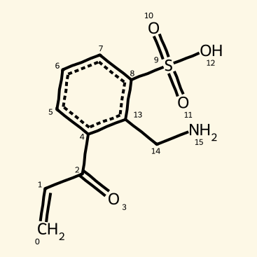 C=CC(=O)c1cccc(S(=O)(=O)O)c1CN